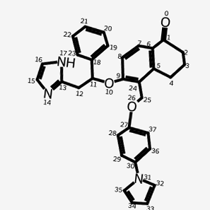 O=C1CCCc2c1ccc(OC(Cc1ncc[nH]1)c1ccccc1)c2COc1ccc(-n2cccc2)cc1